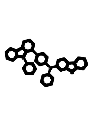 c1ccc(N(c2ccc(-c3cccc4c5ccccc5n(-c5ccccc5)c34)cc2)c2ccc3c(c2)oc2ccccc23)cc1